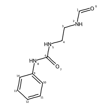 O=[C]NCCNC(=O)Nc1ccccc1